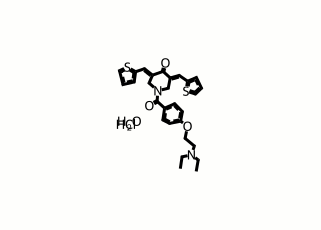 CCN(CC)CCOc1ccc(C(=O)N2CC(=Cc3cccs3)C(=O)C(=Cc3cccs3)C2)cc1.Cl.O